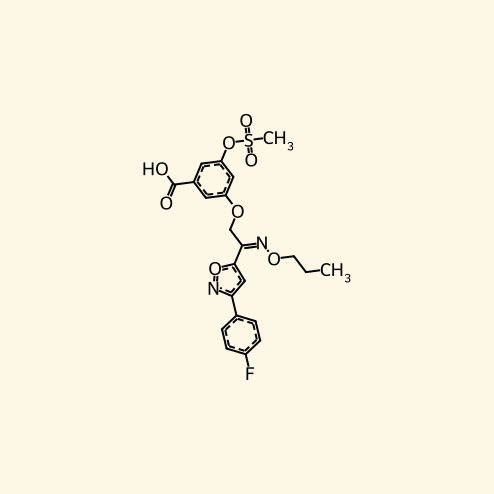 CCCON=C(COc1cc(OS(C)(=O)=O)cc(C(=O)O)c1)c1cc(-c2ccc(F)cc2)no1